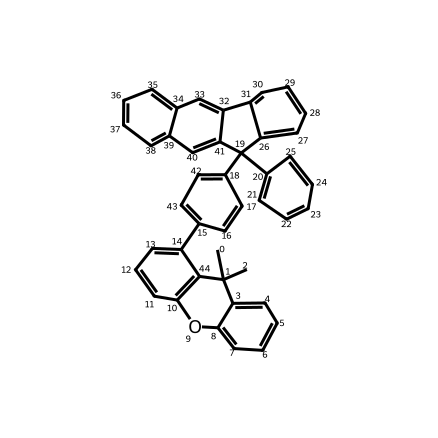 CC1(C)c2ccccc2Oc2cccc(-c3ccc(C4(c5ccccc5)c5ccccc5-c5cc6ccccc6cc54)cc3)c21